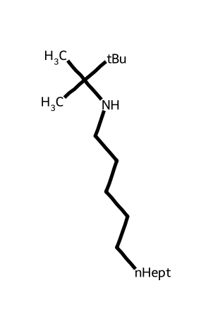 CCCCCCCCCCCCNC(C)(C)C(C)(C)C